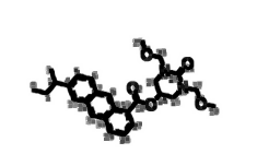 CCC(C)c1ccc2cc3c(C(=O)OC4CN(COC)C(=O)N(COC)C4)cccc3cc2c1